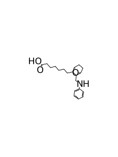 O=C(O)CCCCCCC1C2CCC(O2)C1CNc1ccccc1